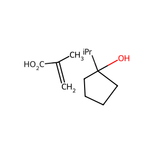 C=C(C)C(=O)O.CC(C)C1(O)CCCC1